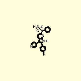 NS(=O)(=O)N(c1ccccc1)c1ccc2c(-c3ccncc3)c(-c3ccc(F)cc3)[nH]c2n1